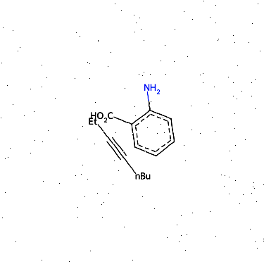 CCC#CCCCC.Nc1ccccc1C(=O)O